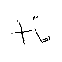 O=COC(F)(F)F.[KH]